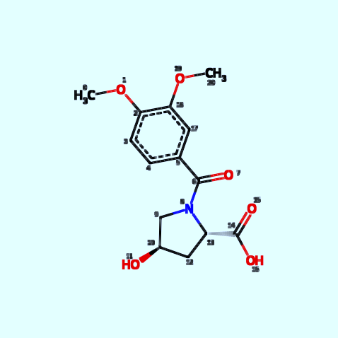 COc1ccc(C(=O)N2C[C@H](O)C[C@H]2C(=O)O)cc1OC